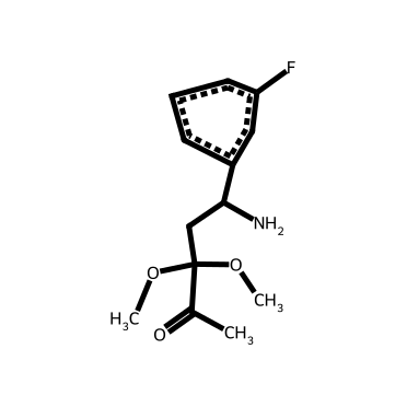 COC(CC(N)c1cccc(F)c1)(OC)C(C)=O